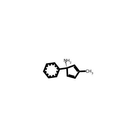 CC1=C[C@](N)(c2ccccc2)C=C1